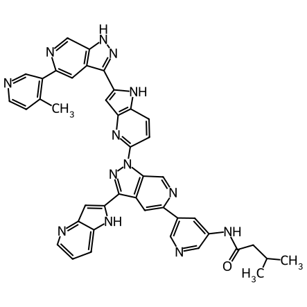 Cc1ccncc1-c1cc2c(-c3cc4nc(-n5nc(-c6cc7ncccc7[nH]6)c6cc(-c7cncc(NC(=O)CC(C)C)c7)ncc65)ccc4[nH]3)n[nH]c2cn1